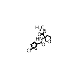 COC(=O)C1(NC(=O)c2ccc(Cl)s2)CCOC1